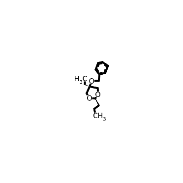 CCC[C@H]1OC[C@@](CC)(OCc2ccccc2)CO1